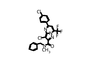 CN(Cc1ccccc1)C(=O)c1nn2c(C(F)(F)F)cc(-c3ccc(Cl)cc3)nc2c1Cl